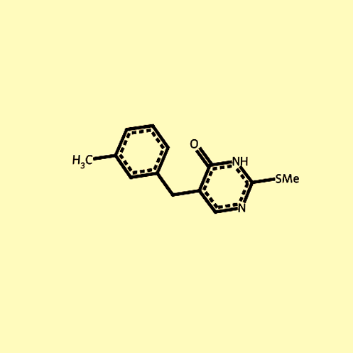 CSc1ncc(Cc2cccc(C)c2)c(=O)[nH]1